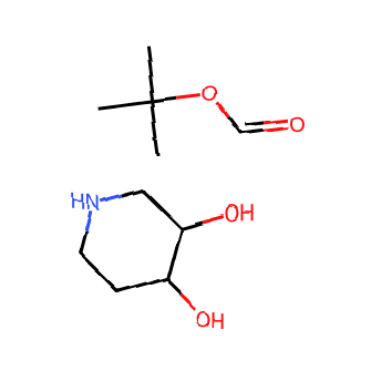 CC(C)(C)OC=O.OC1CCNCC1O